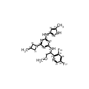 COCC(Nc1nc(Nc2cc(C)[nH]n2)nc(N2CC(C)C2)n1)c1ncc(F)cc1F